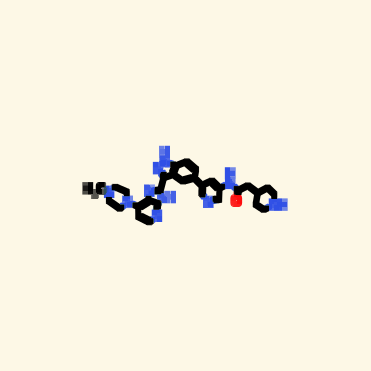 CN1CCN(c2ccnc3[nH]c(-c4n[nH]c5ccc(-c6cncc(NC(=O)CC7CCNCC7)c6)cc45)nc23)CC1